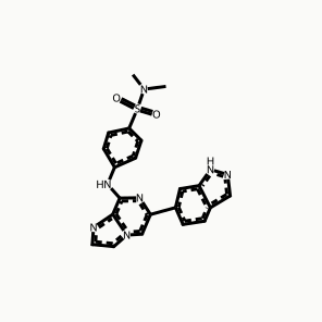 CN(C)S(=O)(=O)c1ccc(Nc2nc(-c3ccc4cn[nH]c4c3)cn3ccnc23)cc1